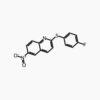 O=[N+]([O-])c1ccc2nc(Sc3ccc(F)cc3)ccc2c1